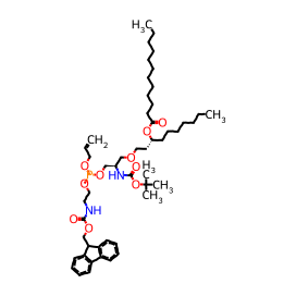 C=CCOP(OCCNC(=O)OCC1c2ccccc2-c2ccccc21)OC[C@@H](COCC[C@@H](CCCCCCC)OC(=O)CCCCCCCCCCC)NC(=O)OC(C)(C)C